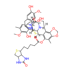 COc1cc2c(cc1O)CCN[C@]21CS[C@@H]2c3c(OC(=O)CCCCC4SCC5NC(=O)NC54)c(C)c4c(c3[C@H](COC1=O)N1C2[C@@H]2c3c(cc(C)c(OC)c3O)C[C@H]([C@@H]1O)N2C)OCO4